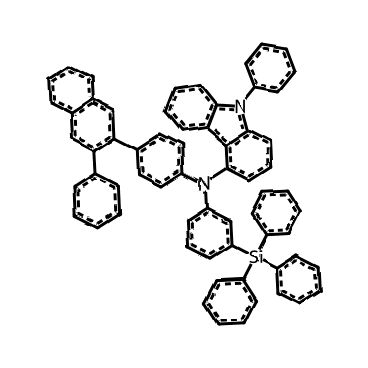 c1ccc(-c2cc3ccccc3cc2-c2ccc(N(c3cccc([Si](c4ccccc4)(c4ccccc4)c4ccccc4)c3)c3cccc4c3c3ccccc3n4-c3ccccc3)cc2)cc1